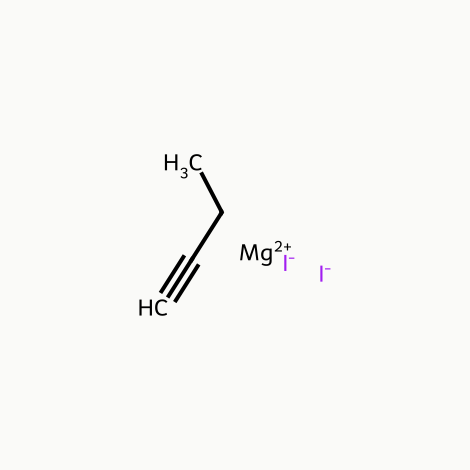 C#CCC.[I-].[I-].[Mg+2]